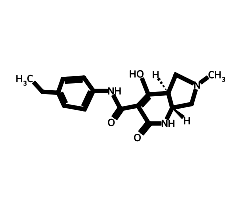 CCc1ccc(NC(=O)C2=C(O)[C@H]3CN(C)C[C@@H]3NC2=O)cc1